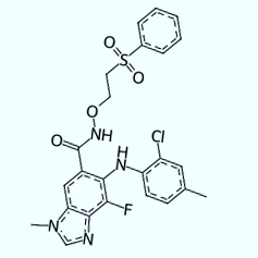 Cc1ccc(Nc2c(C(=O)NOCCS(=O)(=O)c3ccccc3)cc3c(ncn3C)c2F)c(Cl)c1